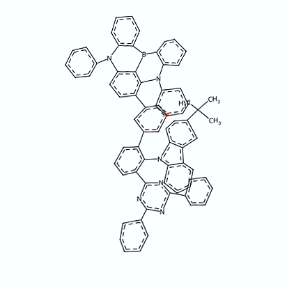 CC(C)(C)c1ccc2c(c1)c1ccccc1n2-c1c(-c2cccc(-c3ccc4c5c3N(c3ccccc3)c3ccccc3B5c3ccccc3N4c3ccccc3)c2)cccc1-c1nc(-c2ccccc2)nc(-c2ccccc2)n1